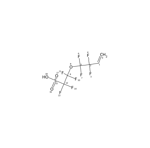 C=CC(F)(F)C(F)(F)OC(F)(F)C(F)(F)S(=O)(=O)O